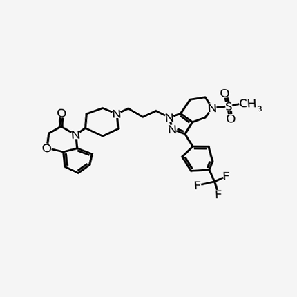 CS(=O)(=O)N1CCc2c(c(-c3ccc(C(F)(F)F)cc3)nn2CCCN2CCC(N3C(=O)COc4ccccc43)CC2)C1